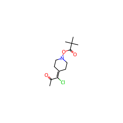 CC(=O)C(Cl)=C1CCN(OC(=O)C(C)(C)C)CC1